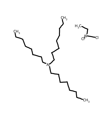 CCCCCCC[CH2][Al]([CH2]CCCCCCC)[CH2]CCCCCCC.C[CH2][Al]([Cl])[Cl]